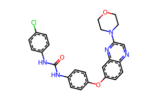 O=C(Nc1ccc(Cl)cc1)Nc1ccc(Oc2ccc3ncc(N4CCOCC4)nc3c2)cc1